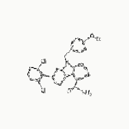 CCOc1ccc(Cn2c3cc(-c4c(Cl)cccc4Cl)c[c]c3c3c(C(N)=O)cccc32)cc1